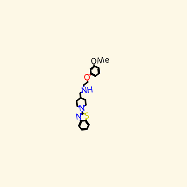 COc1cccc(OCCNCC2CCN(c3nc4ccccc4s3)CC2)c1